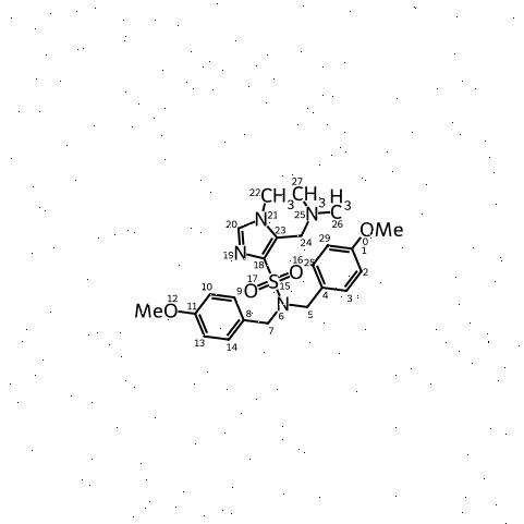 COc1ccc(CN(Cc2ccc(OC)cc2)S(=O)(=O)c2ncn(C)c2CN(C)C)cc1